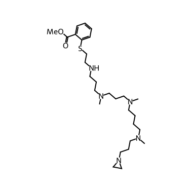 COC(=O)c1ccccc1SCCNCCCN(C)CCCN(C)CCCCN(C)CCCN1CC1